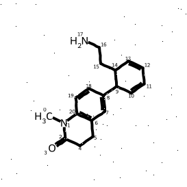 CN1C(=O)CCc2cc(C3C=CC=CC3CCN)ccc21